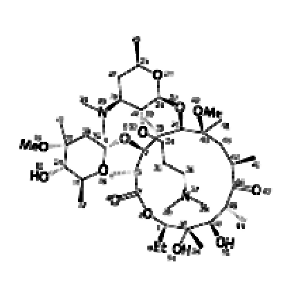 CC[C@H]1OC(=O)[C@H](C)[C@@H](O[C@H]2C[C@@](C)(OC)[C@@H](O)[C@H](C)O2)[C@H](C)[C@@H](O[C@@H]2O[C@H](C)C[C@H](N(C)C)[C@H]2OCCCN(C)C)[C@@](C)(OC)C[C@@H](C)C(=O)[C@H](C)[C@@H](O)[C@]1(C)O